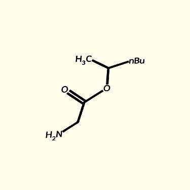 CCCCC(C)OC(=O)CN